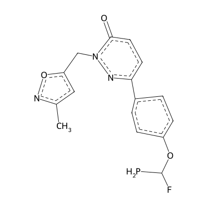 Cc1cc(Cn2nc(-c3ccc(OC(F)P)cc3)ccc2=O)on1